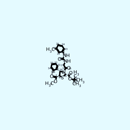 COC(=O)[C@@H]1S[C@@H](C(=O)OC(C)(C)C)N(C(=O)CNC(=O)Nc2cccc(C)c2)[C@H]1c1ccccc1F